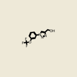 OCc1cn(-c2cccc(OC(F)(F)F)c2)nn1